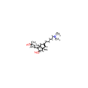 CCCCC[C@](C)(O)CC[C@@H]1[C@H]2CC(CCCCCN(C)C)=C[C@H]2C[C@H]1O